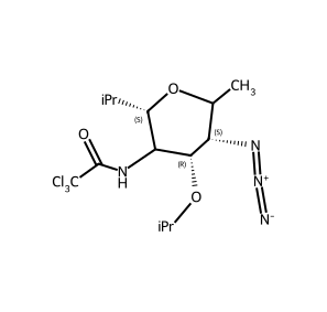 CC(C)O[C@@H]1C(NC(=O)C(Cl)(Cl)Cl)[C@H](C(C)C)OC(C)[C@@H]1N=[N+]=[N-]